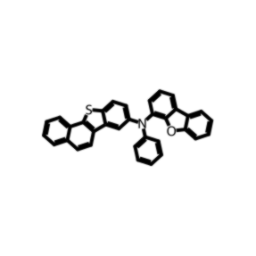 c1ccc(N(c2ccc3sc4c5ccccc5ccc4c3c2)c2cccc3c2oc2ccccc23)cc1